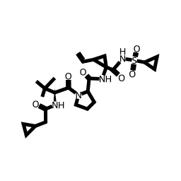 C=CC1CC1(NC(=O)C1CCCN1C(=O)[C@@H](NC(=O)CC1CC1)C(C)(C)C)C(=O)NS(=O)(=O)C1CC1